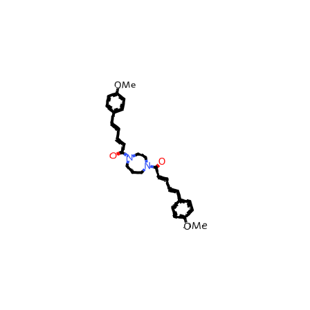 COc1ccc(/C=C/C=C/C(=O)N2CCCN(C(=O)/C=C/C=C/c3ccc(OC)cc3)CC2)cc1